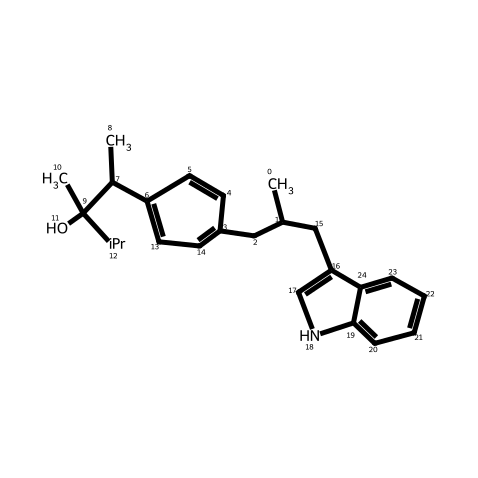 CC(Cc1ccc(C(C)C(C)(O)C(C)C)cc1)Cc1c[nH]c2ccccc12